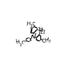 CCC1(CC)c2cc(C)ccc2N(c2ccc(C)cc2)c2ccc(C)cc21